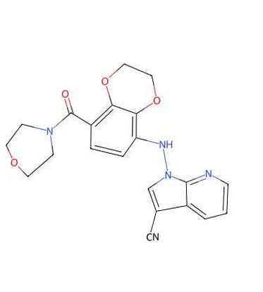 N#Cc1cn(Nc2ccc(C(=O)N3CCOCC3)c3c2OCCO3)c2ncccc12